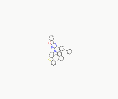 c1ccc(-c2ccc(-c3nc4c(nc3-n3c5ccc6cccc7c6c5c5c6c(ccc53)sc3cccc-7c36)oc3ccccc34)cc2)cc1